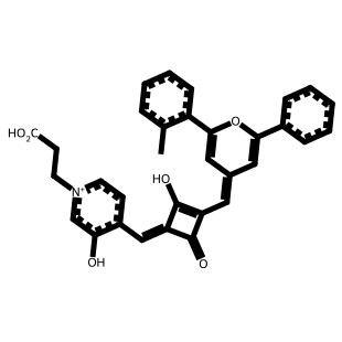 Cc1ccccc1C1=CC(=CC2=C(O)C(=Cc3cc[n+](CCC(=O)O)cc3O)C2=O)C=C(c2ccccc2)O1